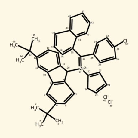 CC(C)(C)c1ccc2c(c1)-c1cc(C(C)(C)C)ccc1[CH]2/[Zr+2]([C]1=CC=CC1)=[C](/c1ccc(Cl)cc1)c1cccc2ccccc12.[Cl-].[Cl-]